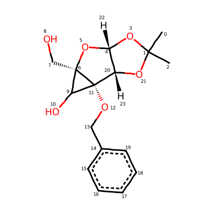 CC1(C)O[C@H]2O[C@]3(CO)C(O)[C@]3(OCc3ccccc3)[C@H]2O1